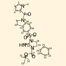 Cn1cccc1C(=O)N1CCc2cc(S(=O)(=O)N3C[C@H](c4ccccc4)N(C(=O)OC(C)(C)C)C3=N)ccc21